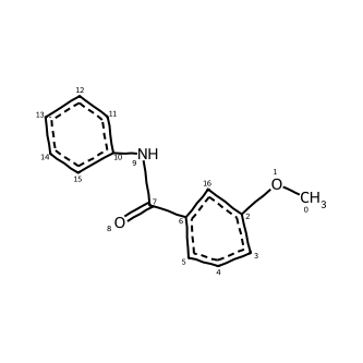 COc1cccc(C(=O)Nc2cc[c]cc2)c1